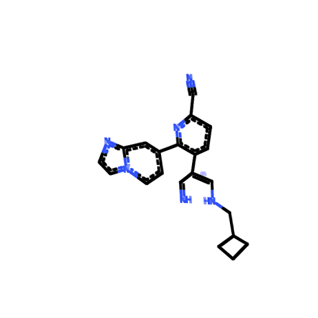 N#Cc1ccc(/C(C=N)=C/NCC2CCC2)c(-c2ccn3ccnc3c2)n1